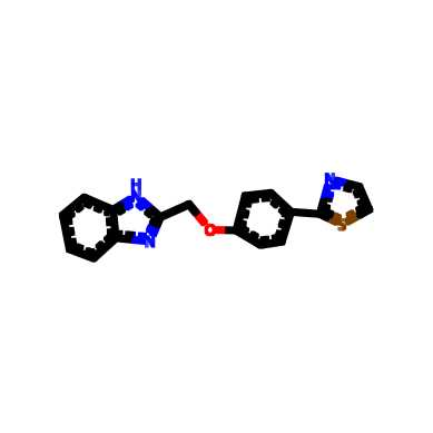 c1ccc2[nH]c(COc3ccc(-c4nccs4)cc3)nc2c1